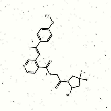 CC(=Cc1cnccc1C(=O)NCC(=O)N1CC(F)(F)CC1C#N)c1ccc(OC(F)(F)F)cc1